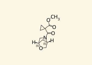 COC(=O)C1(C(=O)N2C[C@@H]3C[C@H]2CO3)CC1